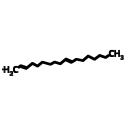 [CH2]C=CCCCCCCC=CCCCCCCC